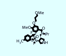 COCCCOc1cc(C(=O)N(C[C@@H]2CNC[C@H]2N(F)S(=O)(=O)C(F)(F)c2ccc(C)cc2)C(C)C)ccc1OC